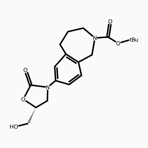 CC(C)(C)OC(=O)N1CCCc2cc(N3C[C@H](CO)OC3=O)ccc2C1